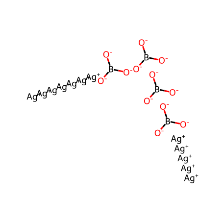 [Ag+].[Ag+].[Ag+].[Ag+].[Ag+].[Ag+].[Ag+].[Ag+].[Ag+].[Ag+].[Ag+].[Ag+].[O-]B([O-])[O-].[O-]B([O-])[O-].[O-]B([O-])[O-].[O-]B([O-])[O-]